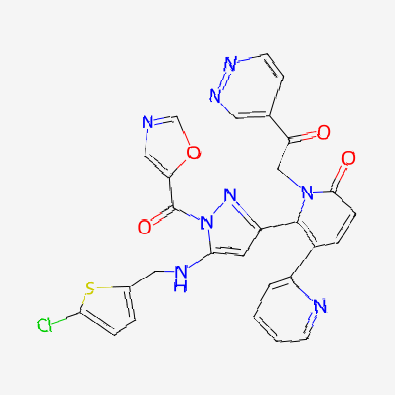 O=C(Cn1c(-c2cc(NCc3ccc(Cl)s3)n(C(=O)c3cnco3)n2)c(-c2ccccn2)ccc1=O)c1ccnnc1